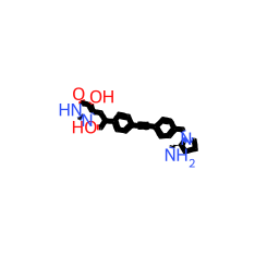 NC[C@H]1CCCN1Cc1ccc(C#Cc2ccc(C(CO)Cc3nc[nH]c(=O)c3O)cc2)cc1